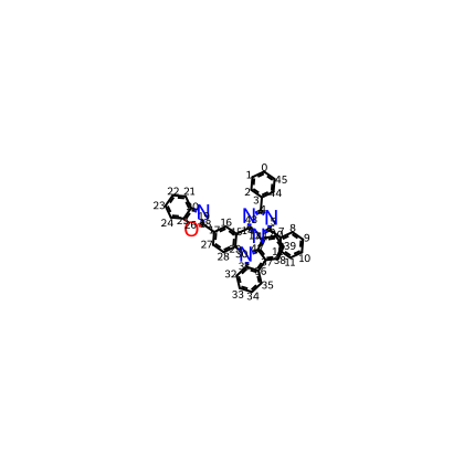 c1ccc(-c2nc(-c3ccccc3)nc(-c3cc(-c4nc5ccccc5o4)ccc3-n3c4ccccc4c4ccccc43)n2)cc1